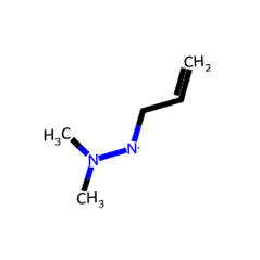 C=CC[N]N(C)C